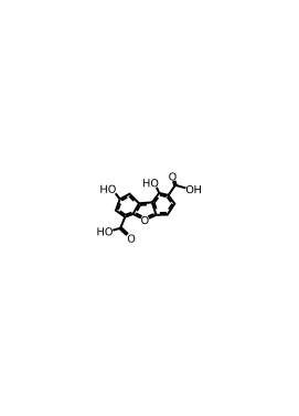 O=C(O)c1ccc2oc3c(C(=O)O)cc(O)cc3c2c1O